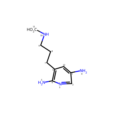 Nc1cnc(N)c(CCCNC(=O)O)c1